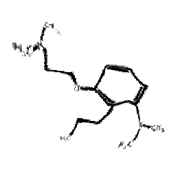 CCCc1c(OCCN(C)C)cccc1N(C)C